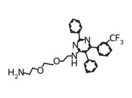 NCCOCCOCCNc1nc(-c2ccccc2)nc(-c2cccc(C(F)(F)F)c2)c1-c1ccccc1